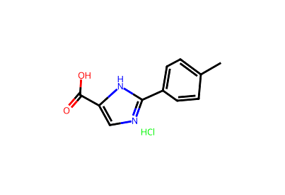 Cc1ccc(-c2ncc(C(=O)O)[nH]2)cc1.Cl